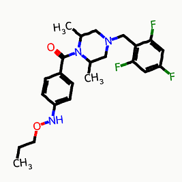 CCCONc1ccc(C(=O)N2C(C)CN(Cc3c(F)cc(F)cc3F)CC2C)cc1